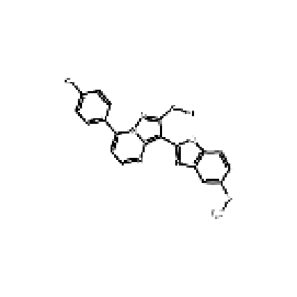 CCSc1nn2c(-c3ccc(Cl)cc3)ccnc2c1-c1nc2cc(SC(F)(F)F)ccc2o1